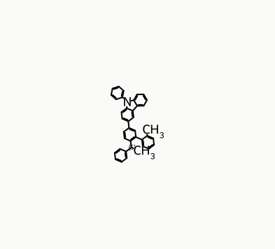 Cc1ccccc1-c1cc(-c2ccc3c(c2)c2ccccc2n3-c2ccccc2)ccc1[C@@H](C)c1ccccc1